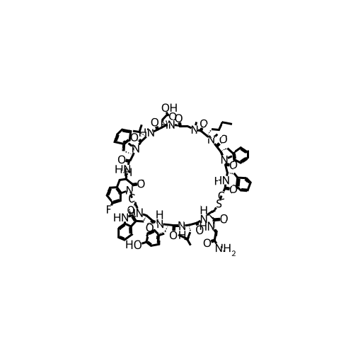 CCCC[C@H]1C(=O)N(C)CC(=O)N[C@@H](CC(=O)O)C(=O)N[C@@H](C(C)C)C(=O)N(C)[C@@H](Cc2ccccc2)C(=O)N[C@H]2Cc3ccc(F)cc3N(CC(=O)N[C@@H](Cc3c[nH]c4ccccc34)C(=O)N[C@@H](Cc3ccc(O)cc3)C(=O)N[C@@H](CC(C)C)C(=O)N[C@H](C(=O)NCC(N)=O)CSCC(=O)N[C@@H](Cc3ccccc3)C(=O)N(C)[C@@H](Cc3ccccc3)C(=O)N1C)C2=O